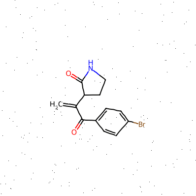 C=C(C(=O)c1ccc(Br)cc1)C1CCNC1=O